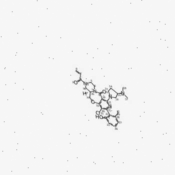 C=CC(=O)N1CCN2C(=O)c3c(N4CC[C@@H](N(C)C)C4)nc(-c4c(O)cccc4F)c(Cl)c3OC[C@H]2C1